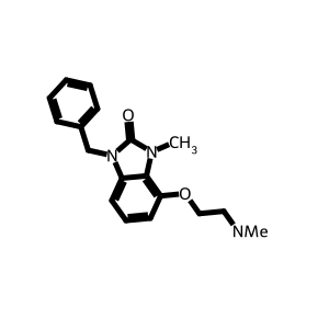 CNCCOc1cccc2c1n(C)c(=O)n2Cc1ccccc1